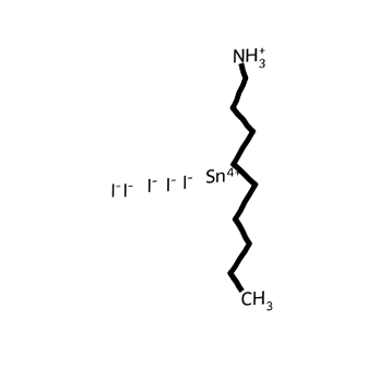 CCCCCCCCC[NH3+].[I-].[I-].[I-].[I-].[I-].[Sn+4]